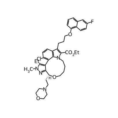 CCOC(=O)c1c(CCCOc2cccc3cc(F)ccc23)c2ccc(Cl)c3c2n1CCCCO[C@H](CCN1CCOCC1)c1nn(C)c(CC)c1-3